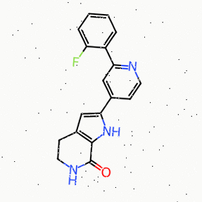 O=C1NCCc2cc(-c3ccnc(-c4ccccc4F)c3)[nH]c21